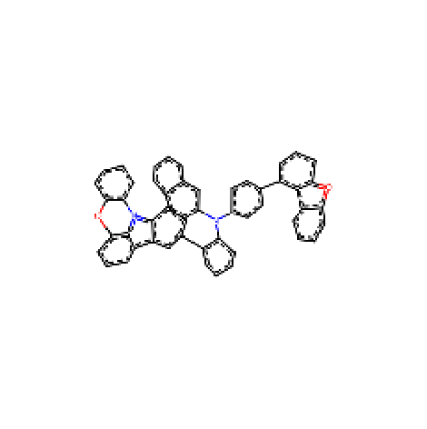 c1ccc2c(c1)Oc1cccc3c4cc(-c5ccccc5N(c5ccc(-c6cccc7oc8ccccc8c67)cc5)c5ccc6ccccc6c5)ccc4n-2c13